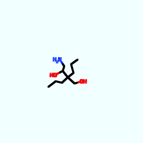 CCCC(CO)(CCC)C(O)CN